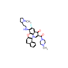 CN1CCN(C(=O)c2cn3c4c(c(NCCC5CCCN5C)c(F)cc4c2=O)Oc2ccc4ccccc4c2-3)CC1